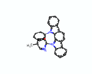 Cc1ccc(-n2c3ccccc3c3ccc4c5ccccc5n(-c5ccccc5)c4c32)nc1